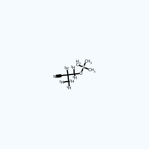 [2H]C([2H])([2H])C([2H])(C#N)C([2H])([2H])O[Si](C)(C)C